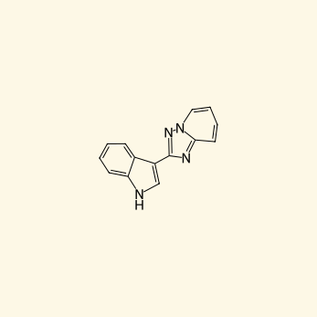 c1ccc2c(-c3nc4ccccn4n3)c[nH]c2c1